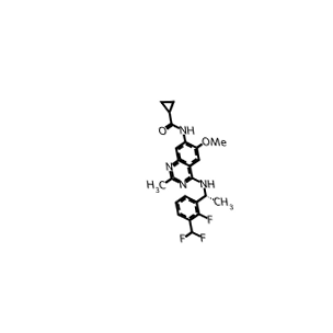 COc1cc2c(N[C@H](C)c3cccc(C(F)F)c3F)nc(C)nc2cc1NC(=O)C1CC1